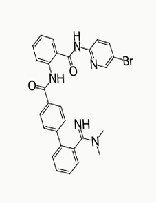 CN(C)C(=N)c1ccccc1-c1ccc(C(=O)Nc2ccccc2C(=O)Nc2ccc(Br)cn2)cc1